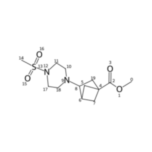 COC(=O)C12CC(C1)C(N1CCN(S(C)(=O)=O)CC1)C2